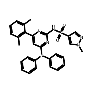 Cc1cccc(C)c1-c1cc(N(c2ccccc2)c2ccccc2)nc(NS(=O)(=O)c2cnn(C)c2)n1